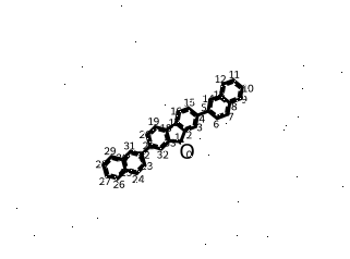 O=C1c2cc(-c3ccc4ccccc4c3)ccc2-c2ccc(-c3ccc4ccccc4c3)cc21